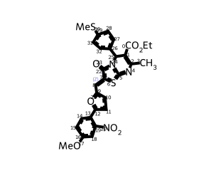 CCOC(=O)C1=C(C)N=c2s/c(=C\c3ccc(-c4ccc(OC)cc4[N+](=O)[O-])o3)c(=O)n2C1c1ccc(SC)cc1